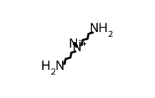 [N-]=[N+](CCCCCN)CCCCCN